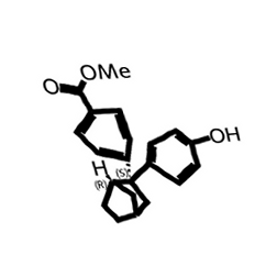 COC(=O)c1ccc([C@]2(c3ccc(O)cc3)CC3CC[C@@H]2C3)cc1